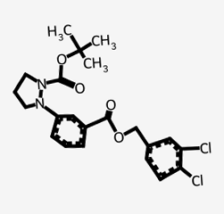 CC(C)(C)OC(=O)N1CCCN1c1cccc(C(=O)OCc2ccc(Cl)c(Cl)c2)c1